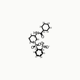 O=C(N[C@@H]1CCCN(S(=O)(=O)c2ccccc2[N+](=O)[O-])C1)C1CCCCC1